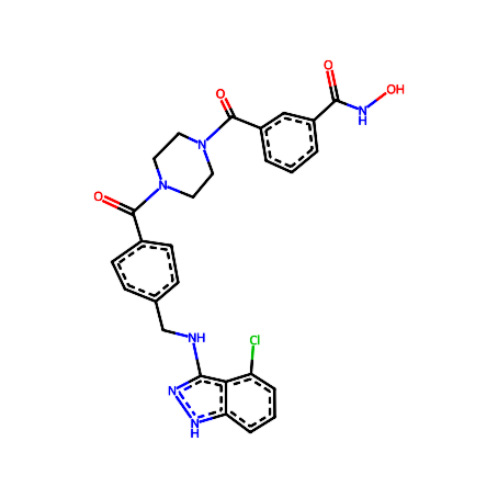 O=C(NO)c1cccc(C(=O)N2CCN(C(=O)c3ccc(CNc4n[nH]c5cccc(Cl)c45)cc3)CC2)c1